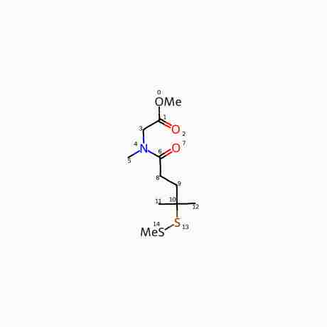 COC(=O)CN(C)C(=O)CCC(C)(C)SSC